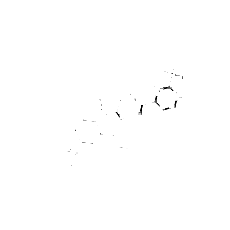 CCC[C@H]1C[C@H](N(C)C)CC[C@@H]1N1CC[C@H](NC(=O)c2ccnc(C(F)(F)F)n2)C1=O